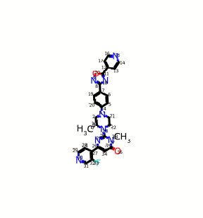 C[C@@H]1CN(c2ccc(-c3noc(-c4ccncc4)n3)cc2)CCN1c1nc(-c2ccncc2F)cc(=O)n1C